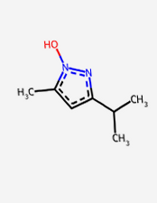 Cc1cc(C(C)C)nn1O